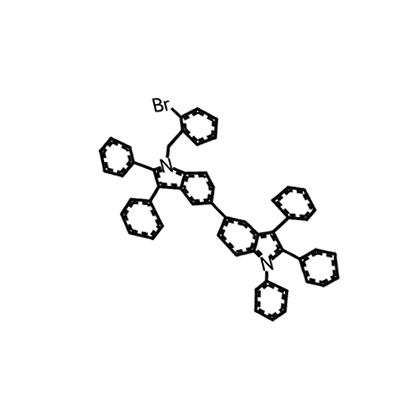 Brc1ccccc1Cn1c(-c2ccccc2)c(-c2ccccc2)c2cc(-c3ccc4c(c3)c(-c3ccccc3)c(-c3ccccc3)n4-c3ccccc3)ccc21